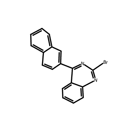 Brc1nc(-c2ccc3ccccc3c2)c2ccccc2n1